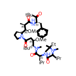 CC[C@H](C)[C@@H]([C@@H](CC(=O)N1CCC[C@H]1[C@H](OC)[C@@H](C)C(=O)N[C@@H](Cc1ccccc1)C(=O)C(C)(C)C)OC)N(C)C(=O)[C@@H](NC(=O)C(C(C)C)N(C)C(C)(C)CC)C(C)C